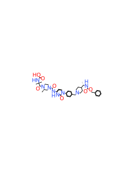 C[C@H](NC(=O)OCc1ccccc1)C1CCN(Cc2ccc(-n3ccc(NC(=O)N4CCN(C(=O)C(C)(C)NC(=O)O)[C@H](C)C4)nc3=O)cc2)CC1